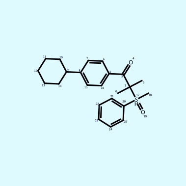 CC(C)(C(=O)c1ccc(C2CCCCC2)cc1)[SH](C)(=O)c1ccccc1